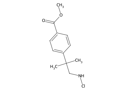 COC(=O)c1ccc(C(C)(C)CNCl)cc1